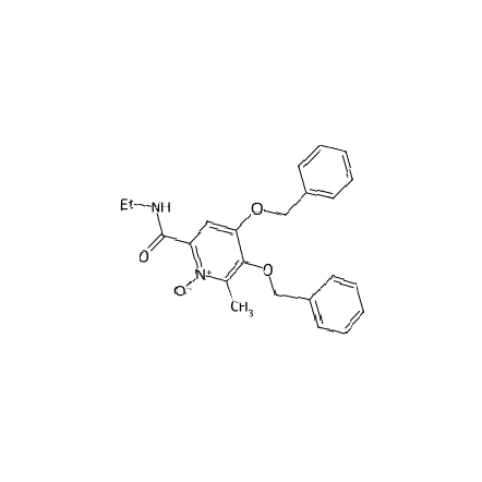 CCNC(=O)c1cc(OCc2ccccc2)c(OCc2ccccc2)c(C)[n+]1[O-]